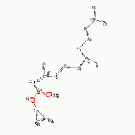 CC(C=CCC(C)CCCC(C)C)=CC(=O)OC1CC1